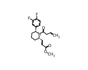 C=CCC(=O)N1[C@@H](/C=C/C(=O)OC)CCC[C@H]1c1ccc(F)c(F)c1